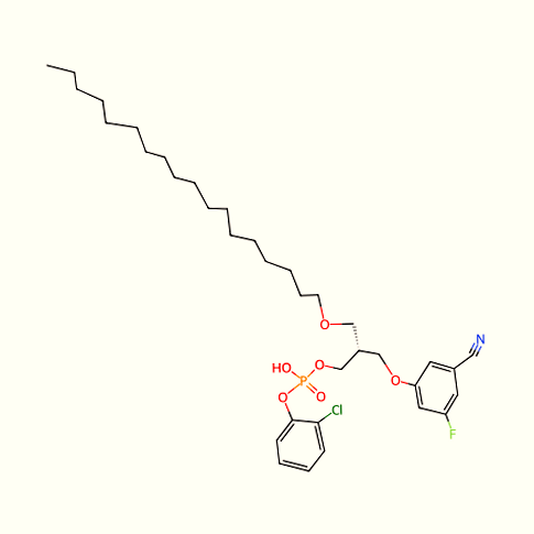 CCCCCCCCCCCCCCCCCCOC[C@H](COc1cc(F)cc(C#N)c1)COP(=O)(O)Oc1ccccc1Cl